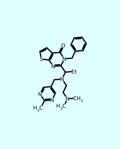 CCC(c1nc2sccc2c(=O)n1Cc1ccccc1)N(CCN(C)C)Cc1cnc(C)nc1